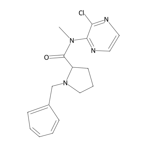 CN(C(=O)C1CCCN1Cc1ccccc1)c1nccnc1Cl